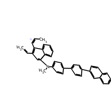 C=Cc1cc(N(C)c2ccc(-c3ccc(-c4ccc5ccccc5c4)cc3)cc2)c2ccccc2c1/C=C\C